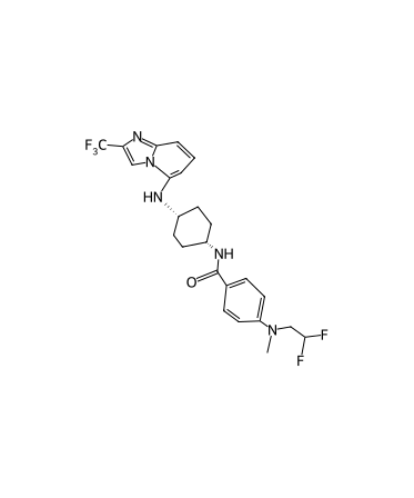 CN(CC(F)F)c1ccc(C(=O)N[C@H]2CC[C@@H](Nc3cccc4nc(C(F)(F)F)cn34)CC2)cc1